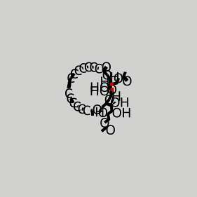 CC(=O)OCC1O[C@H]2OC(C)CCCCCC/C=C\CCCCCCCC(=O)O[C@@H]3C(COC(C)=O)O[C@@H](OC2[C@@H](O)[C@@H]1O)C(O)[C@H]3O